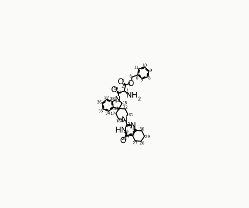 NC(C(=O)OCc1ccccc1)C(=O)N1CC2(CCN(c3nc4c(c(=O)[nH]3)CCCC4)CC2)c2ccccc21